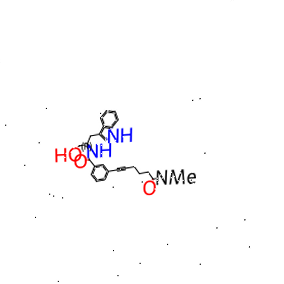 CNC(=O)CCCC#Cc1cccc(C(=O)N[C@@H](CO)Cc2c[nH]c3ccccc23)c1